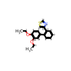 CCOc1ccc(-c2[c]cccc2-c2cscn2)cc1OCC